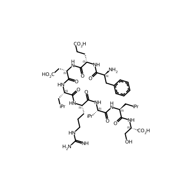 CC(C)C[C@H](NC(=O)[C@H](CC(=O)O)NC(=O)[C@H](CCC(=O)O)NC(=O)[C@@H](N)Cc1ccccc1)C(=O)N[C@@H](CCCNC(=N)N)C(=O)N[C@H](C(=O)N[C@@H](CC(C)C)C(=O)N[C@@H](CO)C(=O)O)C(C)C